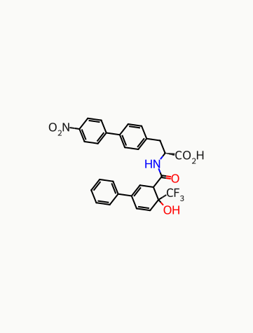 O=C(N[C@@H](Cc1ccc(-c2ccc([N+](=O)[O-])cc2)cc1)C(=O)O)C1C=C(c2ccccc2)C=CC1(O)C(F)(F)F